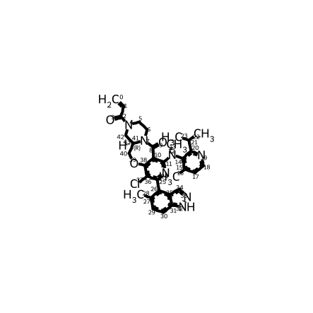 C=CC(=O)N1CCN2C(=O)c3c(N(C)c4c(C)ccnc4C(C)C)nc(-c4c(C)ccc5[nH]ncc45)c(Cl)c3OC[C@H]2C1